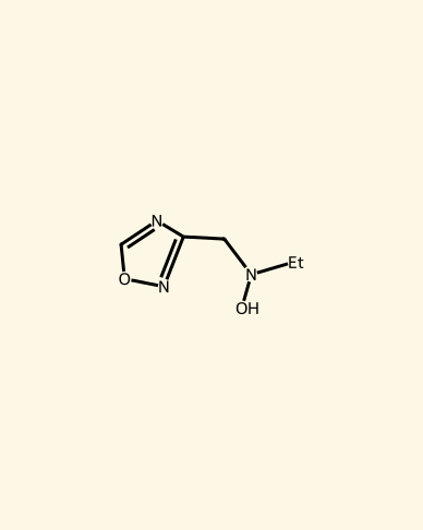 CCN(O)Cc1ncon1